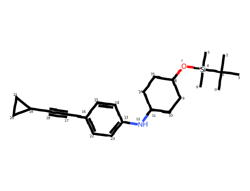 CC(C)(C)[Si](C)(C)OC1CCC(Nc2ccc(C#CC3CC3)cc2)CC1